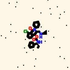 CC[C@H](NC(=O)Oc1c(CNC2CC2)n(-c2ccccc2)c(=O)c2c(Cl)cccc12)c1ccccc1